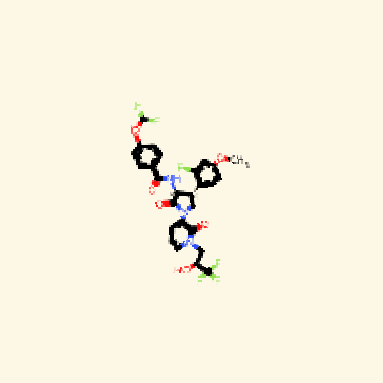 COc1ccc([C@@H]2CN(c3cccn(CC(O)C(F)(F)F)c3=O)C(=O)[C@H]2NC(=O)c2ccc(OC(F)F)cc2)c(F)c1